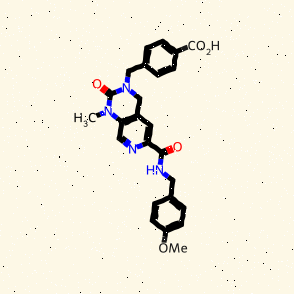 COc1ccc(CNC(=O)c2cc3c(cn2)N(C)C(=O)N(Cc2ccc(C(=O)O)cc2)C3)cc1